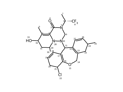 CC1=C2C(=O)N([C@H](C)C(F)(F)F)CN(C3C4=C(COC5=C3C=CCC5Cl)CC(C)C=C4)N2C(C)CC1O